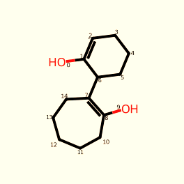 OC1=[C]CCCC1C1=C(O)CCCCC1